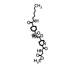 CCCCCCNC(=O)c1ccc(S(=O)(=O)NC(=O)c2ccc(C(=O)NCC(=O)OC)nc2)cc1